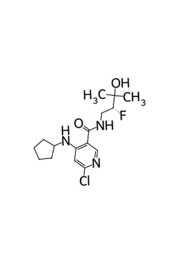 CC(C)(O)[C@H](F)CNC(=O)c1cnc(Cl)cc1NC1CCCC1